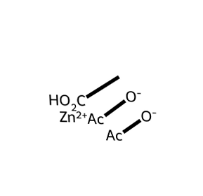 CC(=O)O.CC(=O)[O-].CC(=O)[O-].[Zn+2]